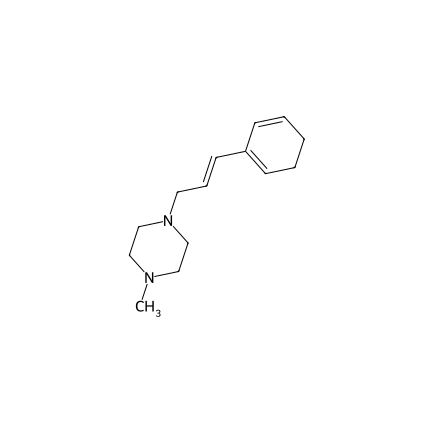 CN1CCN(C/C=C/C2=CCCC=C2)CC1